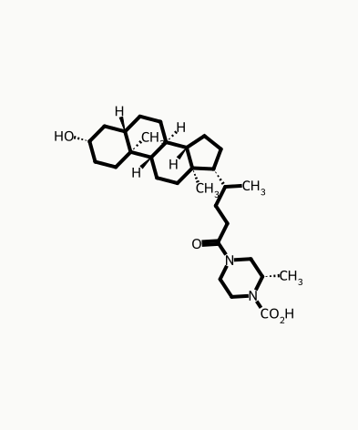 CC(CCC(=O)N1CCN(C(=O)O)[C@@H](C)C1)[C@H]1CC[C@H]2[C@@H]3CC[C@H]4C[C@@H](O)CC[C@]4(C)[C@H]3CC[C@]12C